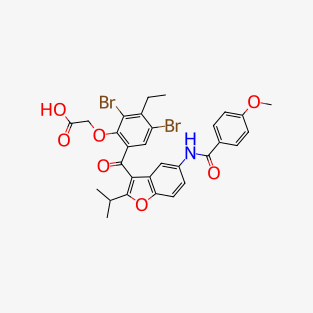 CCc1c(Br)cc(C(=O)c2c(C(C)C)oc3ccc(NC(=O)c4ccc(OC)cc4)cc23)c(OCC(=O)O)c1Br